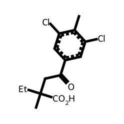 CCC(C)(CC(=O)c1cc(Cl)c(C)c(Cl)c1)C(=O)O